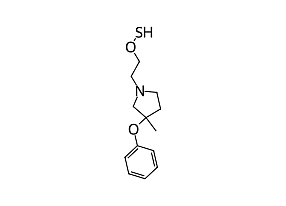 CC1(Oc2ccccc2)CCN(CCOS)C1